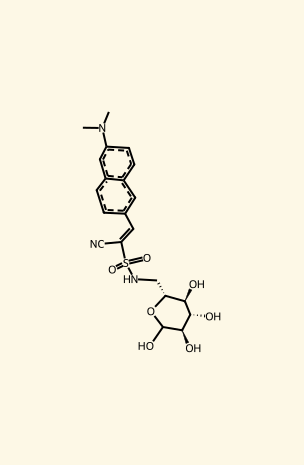 CN(C)c1ccc2cc(/C=C(\C#N)S(=O)(=O)NC[C@H]3OC(O)[C@H](O)[C@@H](O)[C@@H]3O)ccc2c1